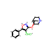 Cl.Clc1c(OC2CN3CCC2CC3)noc1-c1ccccc1